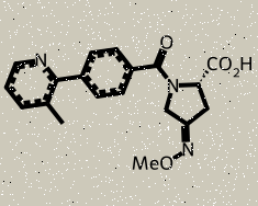 CON=C1C[C@@H](C(=O)O)N(C(=O)c2ccc(-c3ncccc3C)cc2)C1